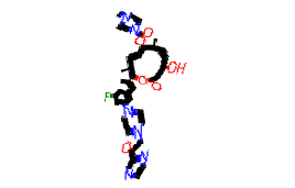 C/C(=C\c1cc(F)cc(N2CCN(CC(=O)c3cnccn3)CC2)c1)[C@H]1OC(=O)C[C@H](O)CC[C@H](C)[C@@H](OC(=O)N2CCN(C)CC2)/C=C/[C@@H]1C